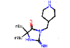 CCCCC1(CCCC)NC(=N)N(CC2CCNCC2)C1=O